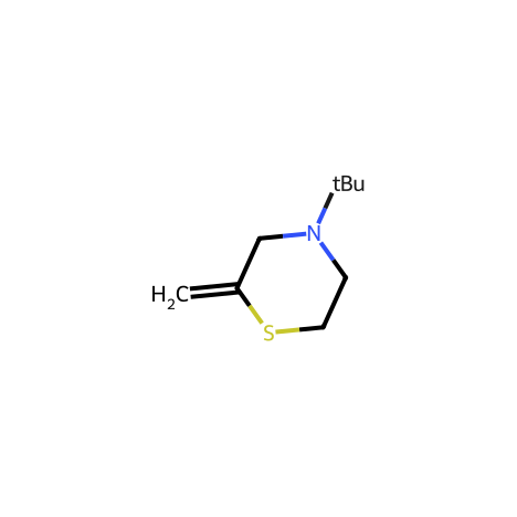 C=C1CN(C(C)(C)C)CCS1